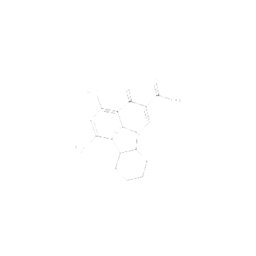 Cc1cc(C)c2c(=O)c(C(=O)O)cn3c2c1C1CCCCC13